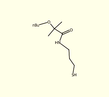 CCCCOC(C)(C)C(=O)NCCCS